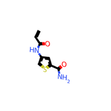 C=CC(=O)Nc1csc(C(N)=O)c1